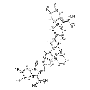 N#CC(C#N)=C1/C(=C/c2cc3sc4c(c3s2)C2(CCCCC2)Oc2c-4sc3cc(/C=C4/C(=C(C#N)C#N)c5cc(F)c(F)cc5C4O)sc23)C(=O)c2cc(F)c(F)cc21